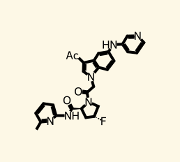 CC(=O)c1cn(CC(=O)N2C[C@H](F)C[C@H]2C(=O)Nc2cccc(C)n2)c2ccc(Nc3cccnc3)cc12